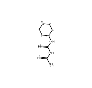 N=C(N)NC(=N)NN1CCOCC1